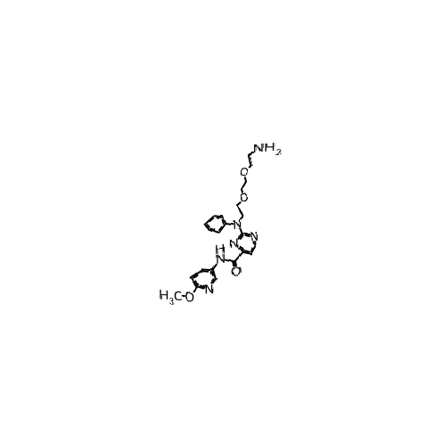 COc1ccc(NC(=O)c2ccnc(N(CCOCCOCCN)c3ccccc3)n2)cn1